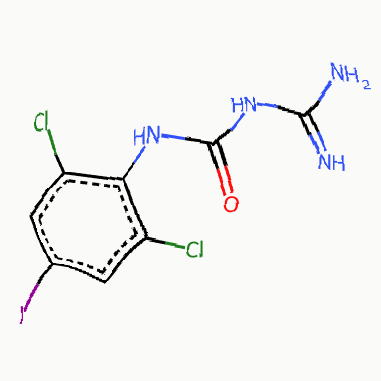 N=C(N)NC(=O)Nc1c(Cl)cc(I)cc1Cl